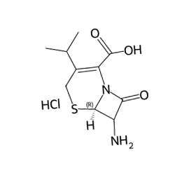 CC(C)C1=C(C(=O)O)N2C(=O)C(N)[C@H]2SC1.Cl